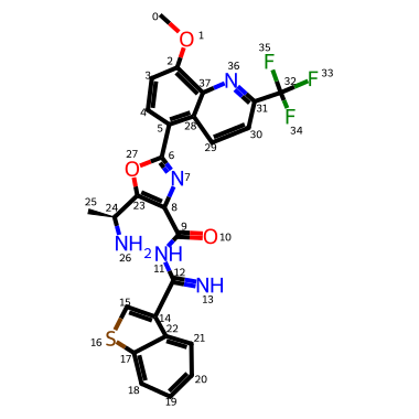 COc1ccc(-c2nc(C(=O)NC(=N)c3csc4ccccc34)c([C@H](C)N)o2)c2ccc(C(F)(F)F)nc12